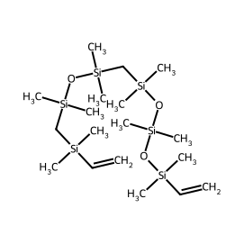 C=C[Si](C)(C)C[Si](C)(C)O[Si](C)(C)C[Si](C)(C)O[Si](C)(C)O[Si](C)(C)C=C